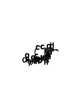 C=CCNC(=O)C(=O)[C@@H]1CCCCCCCC[C@H](NC(=O)N[C@H](CN2CCCCC2=O)C(C)(C)C)C(=O)N2C[C@H]3[C@@H]([C@H]2C(=O)N1)C3(C)C